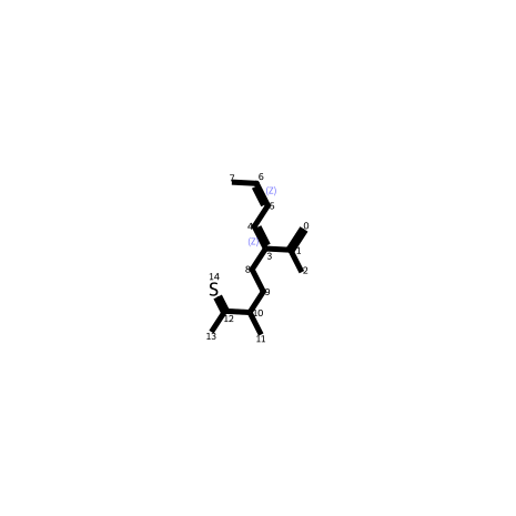 C=C(C)/C(=C\C=C/C)CCC(C)C(C)=S